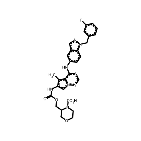 Cc1c(NC(=O)OCC2COCCN2C(=O)O)cn2ncnc(Nc3ccc4c(cnn4Cc4cccc(F)c4)c3)c12